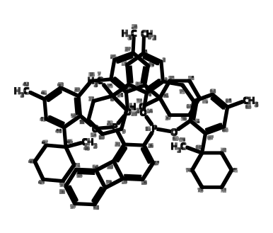 Cc1cc2c(c(C3(C)CCCCC3)c1)OP(c1ccc3c(c1P1Oc4c(cc(C)cc4C4(C)CCCCC4)Cc4cc(C)cc(C5(C)CCCCC5)c4O1)-c1ccccc1-3)Oc1c(cc(C)cc1C1(C)CCCCC1)C2